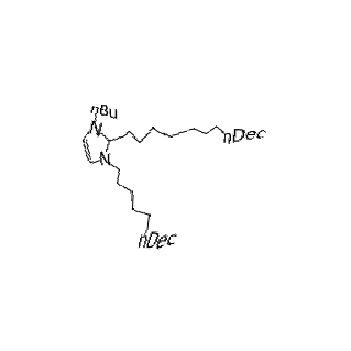 CCCCCCCCCCCCCCCCCC1N(CCCC)C=CN1CCCCCCCCCCCCCCC